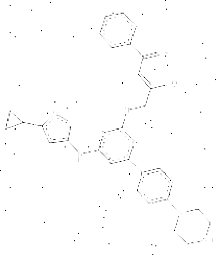 CO/C(=C\C(=N)c1ccccc1)CNc1nc(Nc2cc(C3CC3)[nH]n2)cc(-c2ccc(N3CCNCC3)cc2)n1